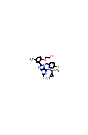 Cc1ccc(OCCO)c(-c2nc3nc(C(=O)O)nc(N[C@H](C)C4CC4)c3n2Cc2ccc(Cl)cc2)c1